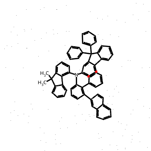 CC1(C)c2ccccc2-c2c(N(c3ccc4c(c3)C(c3ccccc3)(c3ccccc3)c3ccccc3-4)c3cccc(-c4ccc5ccccc5c4)c3-c3ccccc3)cccc21